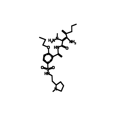 C=C(CCC)/C(N)=C(/C(=O)NC(=C)c1cc(S(=O)(=O)NCCC2CCCN2C)ccc1OCCC)N(C)N